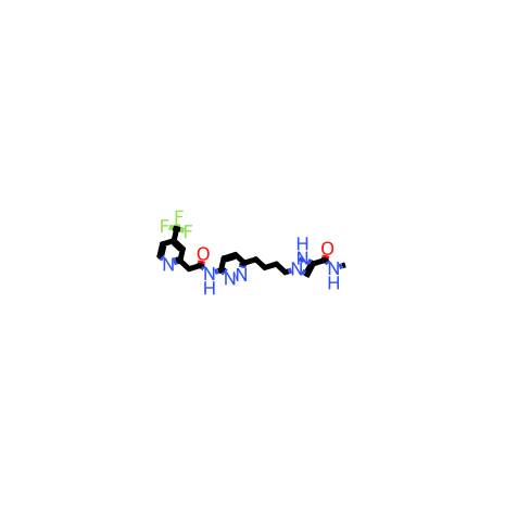 CNC(=O)c1cn(CCCCc2ccc(NC(=O)Cc3cc(C(F)(F)F)ccn3)nn2)[nH]1